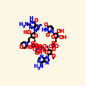 CO[C@@H]1[C@H](OP(=O)([O-])OC[C@H]2O[C@@H](n3ccc(=O)[nH]c3=O)[C@H](O)[C@@H]2O)[C@@H](COP(=O)(O)OP(=O)(O)OP(=O)(O)OC[C@H]2OC(n3c[n+](C)c4c(=O)[nH]c(N)nc43)[C@H](O)[C@@H]2CCN2CCOCC2)O[C@H]1n1cnc2c(N)ncnc21